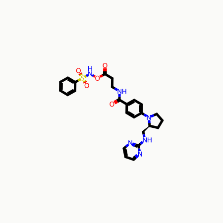 O=C(CCNC(=O)c1ccc(N2CCC[C@H]2CNc2ncccn2)cc1)ONS(=O)(=O)c1ccccc1